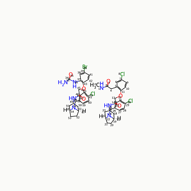 CNC(=O)Cc1cc(Cl)ccc1OCC(=O)N[C@H]1C[C@H]2CC[C@@H](C1)N2Cc1ccc(Cl)cc1.NC(=O)Nc1cc(Br)ccc1OCC(=O)N[C@H]1C[C@H]2CC[C@@H](C1)N2Cc1ccc(Cl)cc1